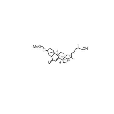 COCOC1CC[C@@]2(C)C(C1)C(=O)C=C1[C@@H]3CC[C@H]([C@H](C)CCCC(C)CO)[C@@]3(C)CC[C@@H]12